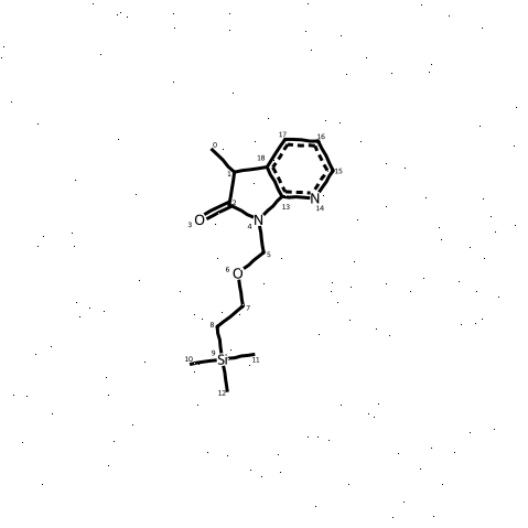 CC1C(=O)N(COCC[Si](C)(C)C)c2ncccc21